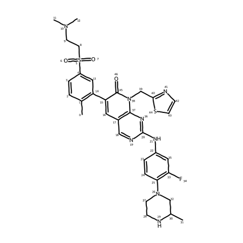 Cc1ccc(S(=O)(=O)CCN(C)C)cc1-c1cc2cnc(Nc3ccc(N4CCNC(C)C4)c(F)c3)nc2n(Cc2nccs2)c1=O